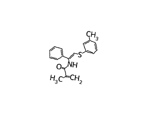 C=C(C)C(=O)NC(=CSc1cccc(C)c1)c1ccccc1